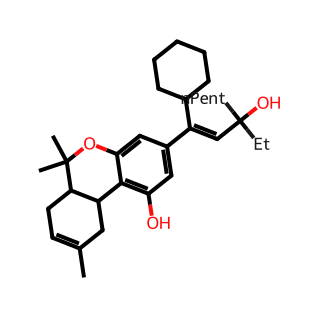 CCCCCC(O)(C=C(c1cc(O)c2c(c1)OC(C)(C)C1CC=C(C)CC21)C1CCCCC1)CC